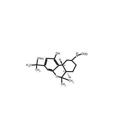 CCCCCCC(C)(C)c1cc(O)c2c(c1)OC(C)(C)[C@@H]1CCC(NC=O)C[C@@H]21